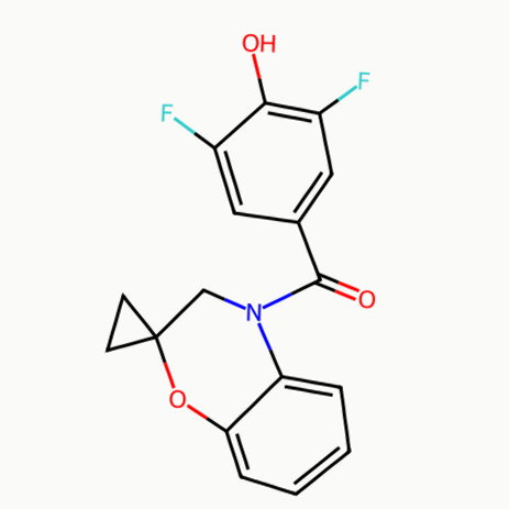 O=C(c1cc(F)c(O)c(F)c1)N1CC2(CC2)Oc2ccccc21